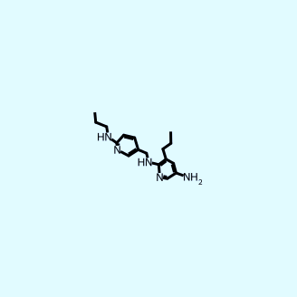 CCCNc1ccc(CNc2ncc(N)cc2CCC)cn1